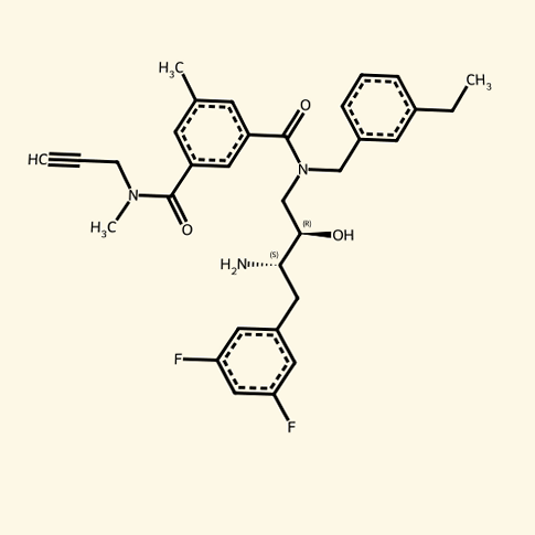 C#CCN(C)C(=O)c1cc(C)cc(C(=O)N(Cc2cccc(CC)c2)C[C@@H](O)[C@@H](N)Cc2cc(F)cc(F)c2)c1